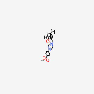 CCOC(=O)c1ccc(N2CCN(CC3C[C@@H]4C[C@@H](C3=O)C4(C)C)CC2)cc1